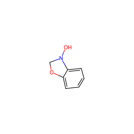 ON1COc2ccccc21